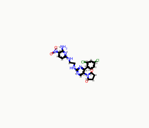 Nc1nc(NCCNc2ncc(N3C(=O)CCC3=O)c(-c3ccc(Cl)cc3Cl)n2)ccc1[N+](=O)[O-]